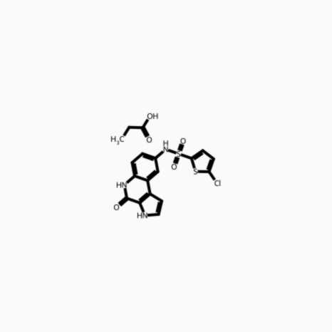 CCC(=O)O.O=c1[nH]c2ccc(NS(=O)(=O)c3ccc(Cl)s3)cc2c2cc[nH]c12